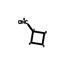 O=CC1[CH]CC1